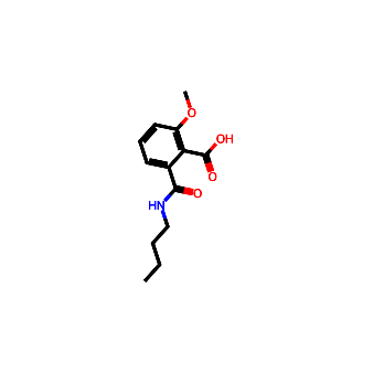 CCCCNC(=O)c1cccc(OC)c1C(=O)O